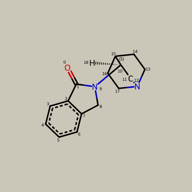 O=C1c2ccccc2CN1[C@@H]1CN2CCC1CC2